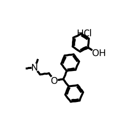 CN(C)CCOC(c1ccccc1)c1ccccc1.Cl.Oc1ccccc1